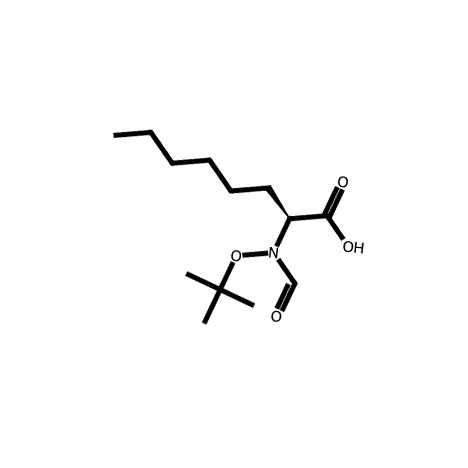 CCCCCC[C@@H](C(=O)O)N(C=O)OC(C)(C)C